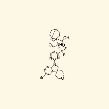 O=C(NC1(C(=O)O)C2CCC3CC(C2)CC1C3)c1cnc(N2CC3(CCOCC3)c3cc(Br)ccc32)nc1C(F)(F)F